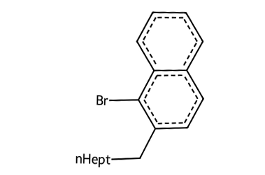 CCCCCCCCc1ccc2ccccc2c1Br